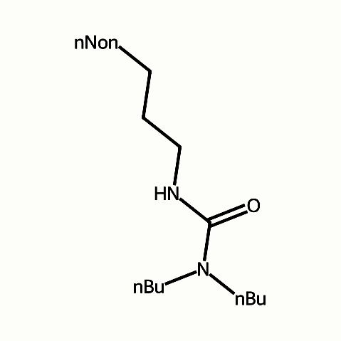 CCCCCCCCCCCCNC(=O)N(CCCC)CCCC